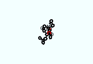 c1ccc(-n2c3ccccc3c3ccc(-c4cc(-c5ccc6oc7cccc(-c8nc(-c9ccc%10c(c9)oc9ccccc9%10)nc(-c9cccc%10c9sc9ccccc9%10)n8)c7c6c5)c5c(c4)oc4ccccc45)cc32)cc1